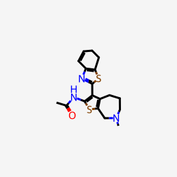 CC(=O)Nc1sc2c(c1-c1nc3c(s1)CCC=C3)CCCN(C)C2